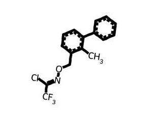 Cc1c(CON=C(Cl)C(F)(F)F)cccc1-c1ccccc1